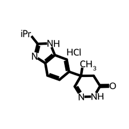 CC(C)c1nc2ccc(C3(C)C=NNC(=O)C3)cc2[nH]1.Cl